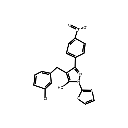 O=[N+]([O-])c1ccc(-c2nn(-c3nccs3)c(O)c2Cc2cccc(Cl)c2)cc1